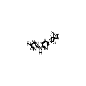 CN1CCC12CN(c1ccc(Nc3ncc(F)cn3)nc1)C2